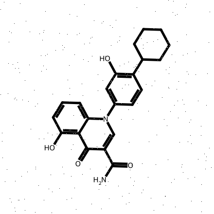 NC(=O)c1cn(-c2ccc(C3CCCCC3)c(O)c2)c2cccc(O)c2c1=O